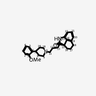 COc1ccccc1C1CCN(CCCCC23CCCc4cccc(c42)NC3=O)CC1